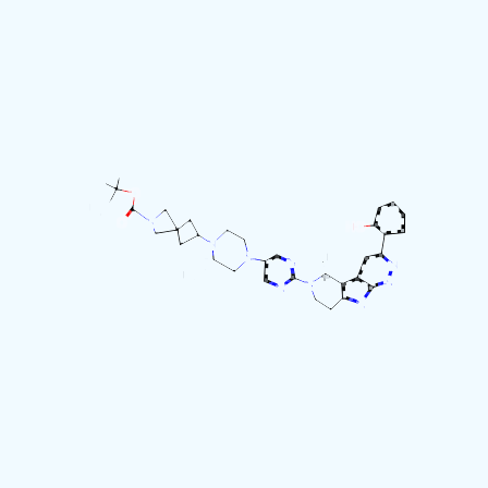 C[C@@H]1c2c([nH]c3nnc(-c4ccccc4O)cc23)CCN1c1ncc(N2CCN(C3CC4(C3)CN(C(=O)OC(C)(C)C)C4)[C@@H](C)C2)cn1